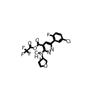 CN(c1nnc(-c2cc(Cl)ccc2F)cc1C(=O)OC(=O)C(F)(F)F)C1CCOC1